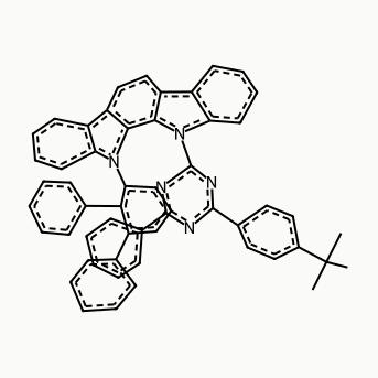 CC(C)(C)c1ccc(-c2nc(-c3ccccc3)nc(-n3c4ccccc4c4ccc5c6ccccc6n(-c6cccc(-c7ccccc7)c6-c6ccccc6)c5c43)n2)cc1